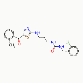 Cc1ccccc1C(=O)c1cnc(NCCCNC(=O)NCc2ccccc2Cl)s1